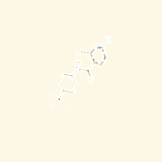 O=C(NC1CCC(C(F)(F)F)CC1)c1ccc(Cl)nc1Cl